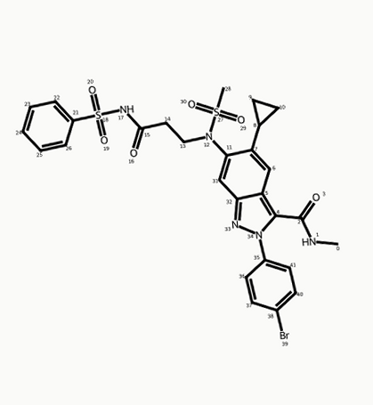 CNC(=O)c1c2cc(C3CC3)c(N(CCC(=O)NS(=O)(=O)c3ccccc3)S(C)(=O)=O)cc2nn1-c1ccc(Br)cc1